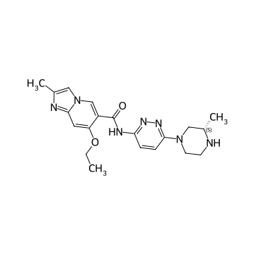 CCOc1cc2nc(C)cn2cc1C(=O)Nc1ccc(N2CCN[C@@H](C)C2)nn1